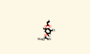 C=CC(=O)OC1(C)C=C(CC)CC(C)(OC(OC)C(C)C)C1